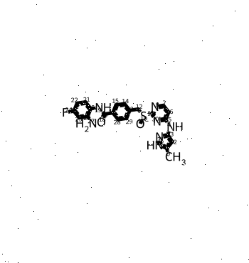 Cc1cc(Nc2ccnc([S+]([O-])Cc3ccc(C(=O)Nc4ccc(F)cc4N)cc3)n2)n[nH]1